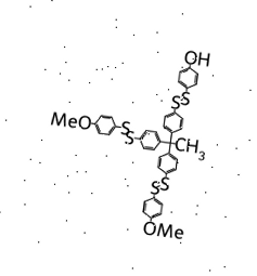 COc1ccc(SSc2ccc(C(C)(c3ccc(SSc4ccc(O)cc4)cc3)c3ccc(SSc4ccc(OC)cc4)cc3)cc2)cc1